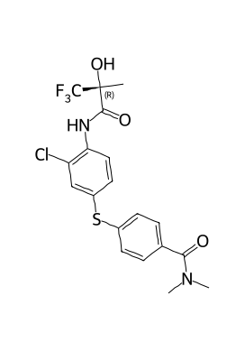 CN(C)C(=O)c1ccc(Sc2ccc(NC(=O)[C@@](C)(O)C(F)(F)F)c(Cl)c2)cc1